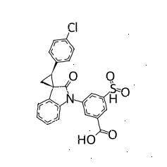 O=C(O)c1cc(N2C(=O)[C@]3(C[C@H]3c3ccc(Cl)cc3)c3ccccc32)cc([SH](=O)=O)c1